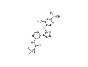 CCC(O)c1cc(C)c(Nc2nncn2-c2cc(NC(=O)[C@H]3CC3(F)F)ncn2)cn1